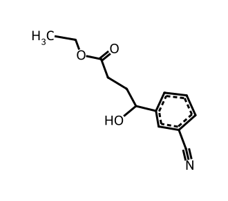 CCOC(=O)CCC(O)c1cccc(C#N)c1